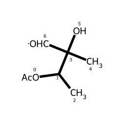 CC(=O)OC(C)C(C)(O)[C]=O